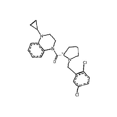 O=C([C@@H]1CCCN1Cc1cc(Cl)ccc1Cl)N1CCN(C2CC2)c2ccccc21